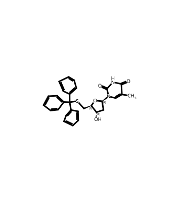 Cc1cn([C@H]2C[C@H](O)[C@@H](CSC(c3ccccc3)(c3ccccc3)c3ccccc3)O2)c(=O)[nH]c1=O